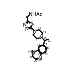 CC(=O)NCc1nnc(N2CCN(C(C)c3ccc4c(c3)NCC=N4)CC2)s1